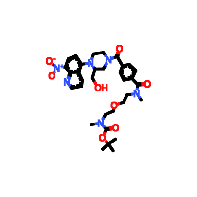 CN(CCOCCN(C)C(=O)c1ccc(C(=O)N2CCN(c3ccc([N+](=O)[O-])c4ncccc34)C(CO)C2)cc1)C(=O)OC(C)(C)C